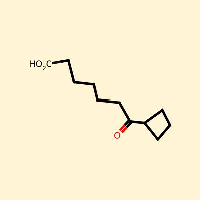 O=C(O)CCCCCC(=O)C1CCC1